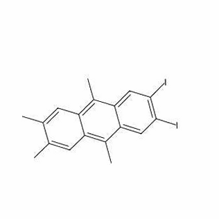 Cc1cc2c(C)c3cc(I)c(I)cc3c(C)c2cc1C